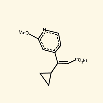 CCOC(=O)/C=C(\c1ccnc(OC)c1)C1CC1